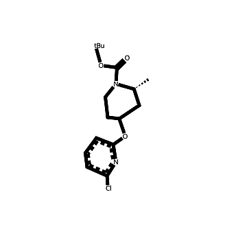 C[C@@H]1CC(Oc2cccc(Cl)n2)CCN1C(=O)OC(C)(C)C